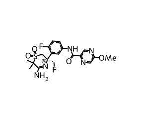 COc1cnc(C(=O)Nc2ccc(F)c([C@]3(CF)CS(=O)(=O)C(C)(C)C(N)=N3)c2)cn1